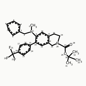 CN(Cc1ccccc1)c1cc2c(cc1-c1ccc(C(F)(F)F)cc1)CN(C(=O)OC(C)(C)C)CC2